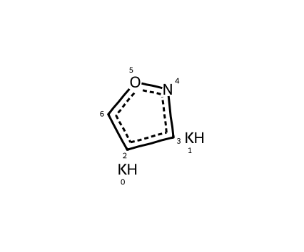 [KH].[KH].c1cnoc1